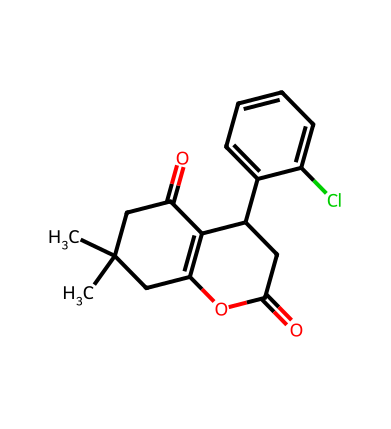 CC1(C)CC(=O)C2=C(C1)OC(=O)CC2c1ccccc1Cl